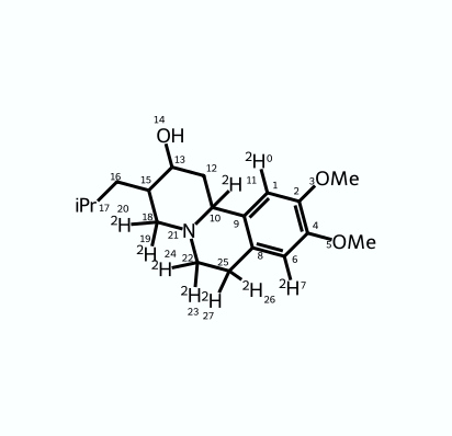 [2H]c1c(OC)c(OC)c([2H])c2c1C1([2H])CC(O)C(CC(C)C)C([2H])([2H])N1C([2H])([2H])C2([2H])[2H]